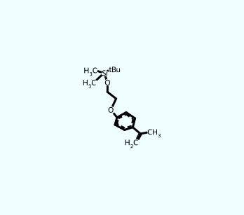 C=C(C)c1ccc(OCCO[Si](C)(C)C(C)(C)C)cc1